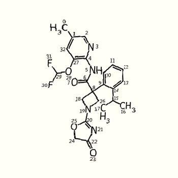 Cc1cnc(NC(=O)C2(c3ccccc3C(C)C)CN(C3=NC(=O)CO3)C2)c(OC(F)F)c1